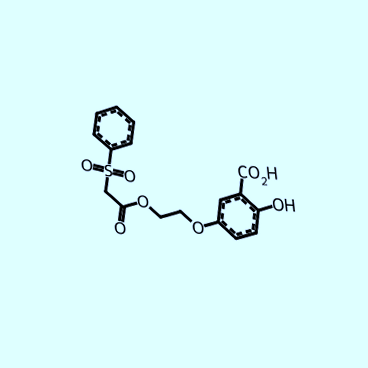 O=C(CS(=O)(=O)c1ccccc1)OCCOc1ccc(O)c(C(=O)O)c1